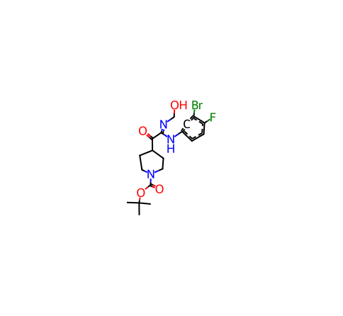 CC(C)(C)OC(=O)N1CCC(C(=O)/C(=N/CO)Nc2ccc(F)c(Br)c2)CC1